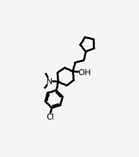 CN(C)C1(c2ccc(Cl)cc2)CCC(O)(CCC2CCCC2)CC1